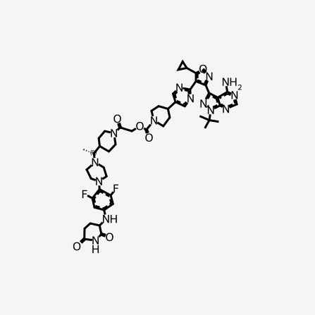 C[C@H](C1CCN(C(=O)COC(=O)N2CCC(c3cnc(-c4c(-c5nn(C(C)(C)C)c6ncnc(N)c56)noc4C4CC4)nc3)CC2)CC1)N1CCN(c2c(F)cc(NC3CCC(=O)NC3=O)cc2F)CC1